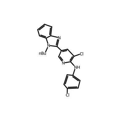 CCCCn1c(-c2cnc(Nc3ccc(Cl)cc3)c(Cl)c2)nc2ccccc21